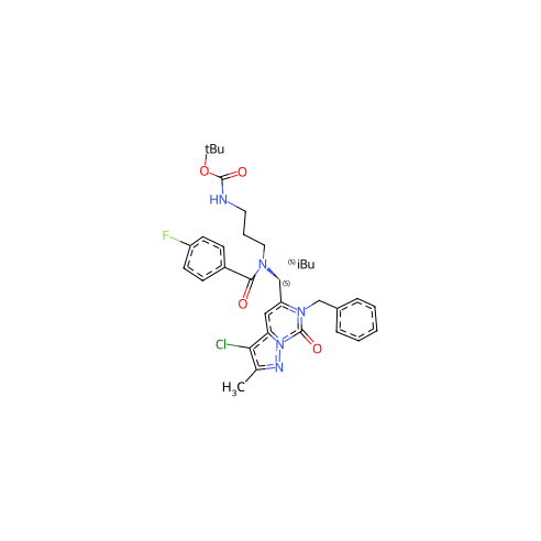 CC[C@H](C)[C@@H](c1cc2c(Cl)c(C)nn2c(=O)n1Cc1ccccc1)N(CCCNC(=O)OC(C)(C)C)C(=O)c1ccc(F)cc1